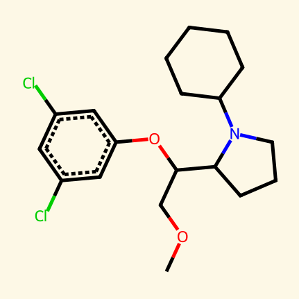 COCC(Oc1cc(Cl)cc(Cl)c1)C1CCCN1C1CCCCC1